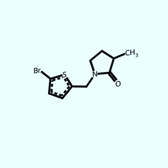 CC1CCN(Cc2ccc(Br)s2)C1=O